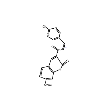 COc1ccc2cc(C(=O)/C=C\c3ccc(Cl)cc3)c(=O)sc2c1